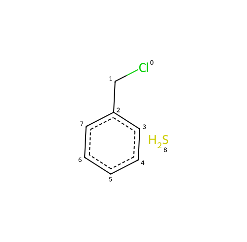 ClCc1ccccc1.S